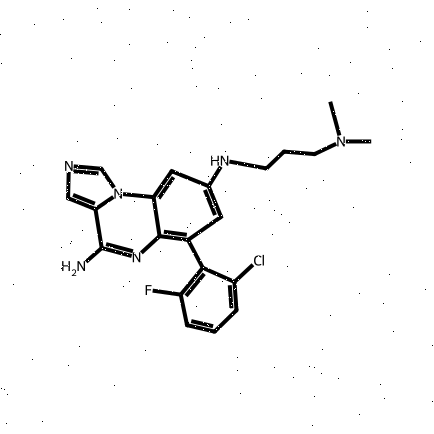 CN(C)CCCNc1cc(-c2c(F)cccc2Cl)c2nc(N)c3cncn3c2c1